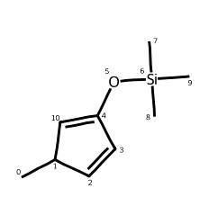 CC1C=CC(O[Si](C)(C)C)=C1